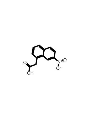 O=C(O)Cc1cccc2ccc([N+](=O)[O-])cc12